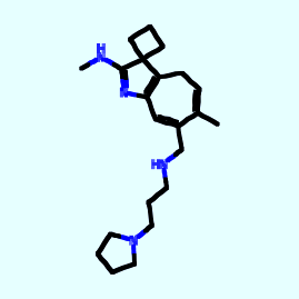 CNC1=NC2=C(CC=C(C)C(CNCCCN3CCCC3)=C2)C12CCC2